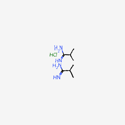 CC(C)C(=N)N.CC(C)C(=N)N.Cl